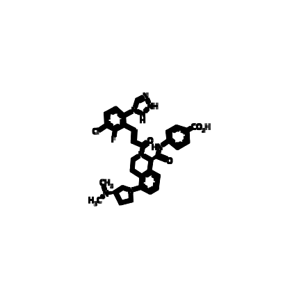 CN(C)[C@@H]1CCN(c2cccc3c2CCN(C(=O)/C=C/c2c(N4C=NNN4)ccc(Cl)c2F)[C@H]3C(=O)Nc2ccc(C(=O)O)cc2)C1